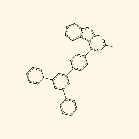 Clc1nc(-c2ccc(-c3cc(-c4ccccc4)cc(-c4ccccc4)c3)cc2)c2c(n1)sc1ccccc12